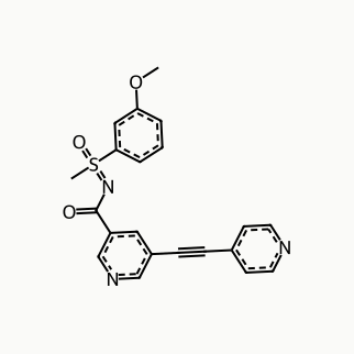 COc1cccc(S(C)(=O)=NC(=O)c2cncc(C#Cc3ccncc3)c2)c1